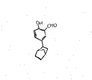 O=Cc1cc(C2CC3CCC2C3)ccc1O